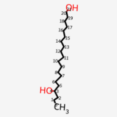 CCCC(O)CCCCCCCCCCCCCCCCO